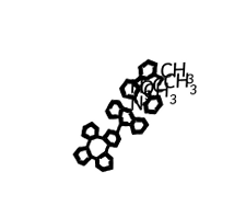 Cc1ccccc1N(c1c2ccccc2c(-c2ccc3c(c2)-c2ccccc2-c2ccccc2-c2ccccc2-3)c2ccccc12)c1cccc2c1oc1c(C(C)(C)C)cccc12